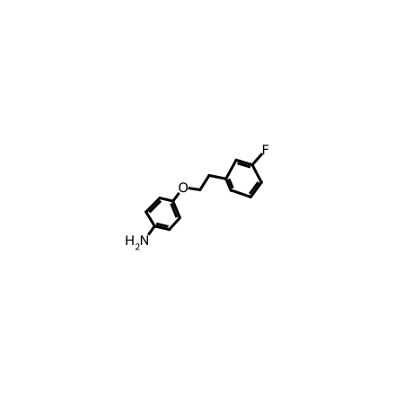 Nc1ccc(OCCc2cccc(F)c2)cc1